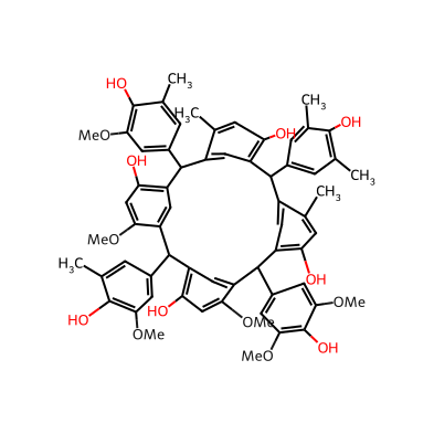 COc1cc(O)c2cc1C(c1cc(C)c(O)c(OC)c1)c1cc(c(OC)cc1O)C(c1cc(OC)c(O)c(OC)c1)c1cc(c(C)cc1O)C(c1cc(C)c(O)c(C)c1)c1cc(c(C)cc1O)C2c1cc(C)c(O)c(OC)c1